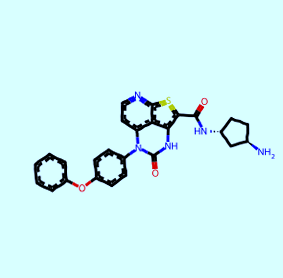 N[C@@H]1CC[C@@H](NC(=O)c2sc3nccc4c3c2NC(=O)N4c2ccc(Oc3ccccc3)cc2)C1